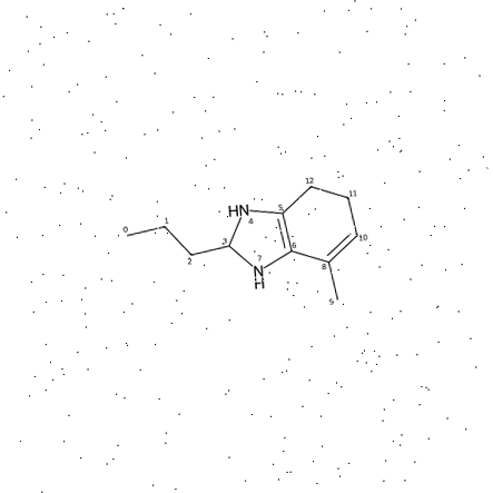 CCCC1NC2=C(N1)C(C)=CCC2